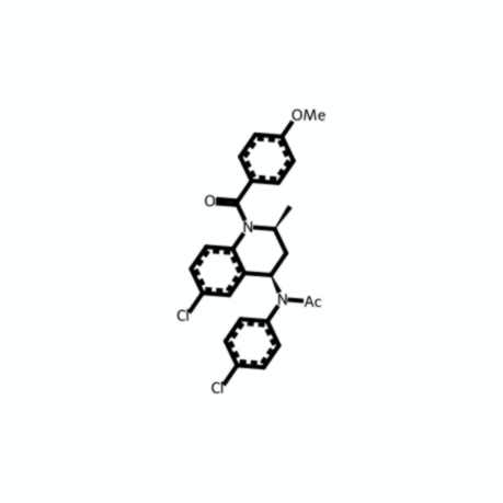 COc1ccc(C(=O)N2c3ccc(Cl)cc3[C@H](N(C(C)=O)c3ccc(Cl)cc3)C[C@@H]2C)cc1